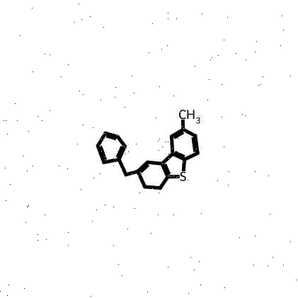 Cc1ccc2sc3c(c2c1)C=C(Cc1ccccc1)CC3